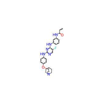 C=CC(=O)Nc1cccc(Nc2nc(Nc3ccc(OC4CN5CCC4CC5)cc3)ncc2F)c1